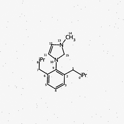 CC(C)Cc1cccc(CC(C)C)c1N1C=CN(C)C1